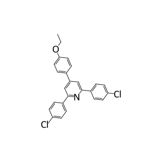 CCOc1ccc(-c2cc(-c3ccc(Cl)cc3)nc(-c3ccc(Cl)cc3)c2)cc1